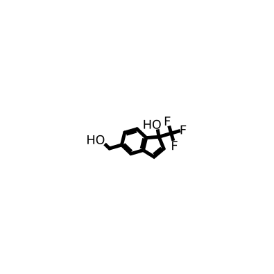 OCc1ccc2c(c1)C=CC2(O)C(F)(F)F